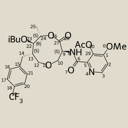 COc1ccnc(C(=O)N[C@H]2COC[C@H](Cc3ccc(C(F)(F)F)cc3)[C@@H](OCC(C)C)[C@H](C)OC2=O)c1OC(C)=O